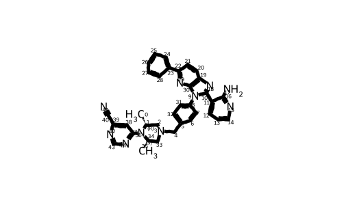 C[C@@H]1CN(Cc2ccc(-n3c(-c4cccnc4N)nc4ccc(-c5ccccc5)nc43)cc2)C[C@H](C)N1c1cc(C#N)ncn1